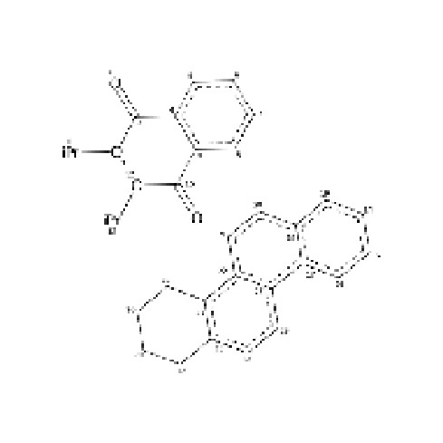 CC(C)OC(=O)c1ccccc1C(=O)OC(C)C.c1ccc2c(c1)ccc1c3c(ccc12)CCCC3